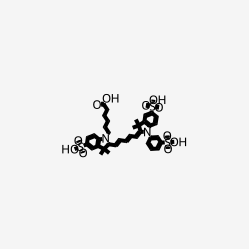 CC1(C)\C(=C/C=C/C=C/C2N(CCCCCC(=O)O)c3ccc(S(=O)(=O)O)cc3C2(C)C)N(c2cccc(S(=O)(=O)O)c2)c2ccc(S(=O)(=O)O)cc21